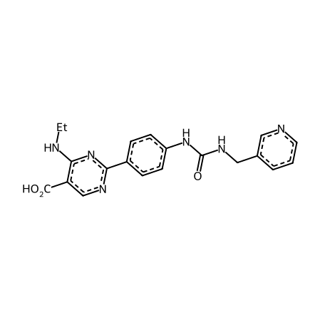 CCNc1nc(-c2ccc(NC(=O)NCc3cccnc3)cc2)ncc1C(=O)O